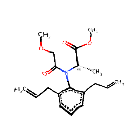 C=CCc1cccc(CC=C)c1N(C(=O)COC)[C@@H](C)C(=O)OC